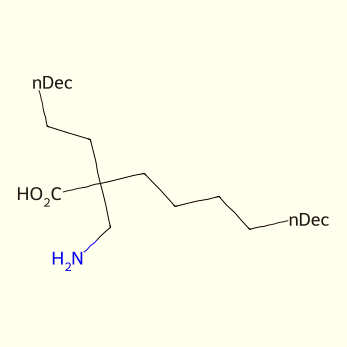 CCCCCCCCCCCCCCC(CN)(CCCCCCCCCCCC)C(=O)O